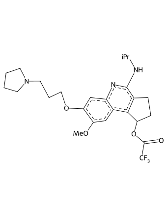 COc1cc2c3c(c(NC(C)C)nc2cc1OCCCN1CCCC1)CCC3OC(=O)C(F)(F)F